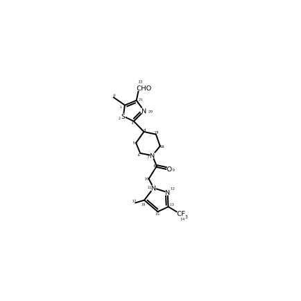 Cc1sc(C2CCN(C(=O)Cn3nc(C(F)(F)F)cc3C)CC2)nc1C=O